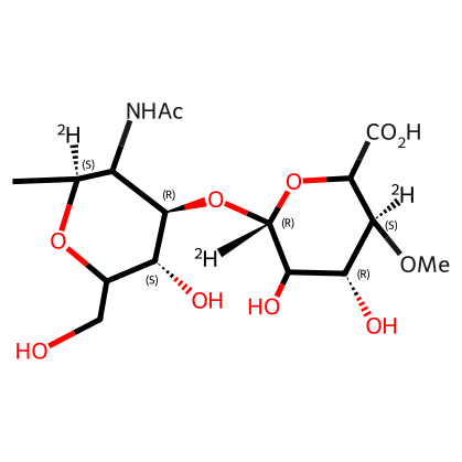 [2H][C@@]1(O[C@@H]2C(NC(C)=O)[C@]([2H])(C)OC(CO)[C@H]2O)OC(C(=O)O)[C@@]([2H])(OC)[C@H](O)C1O